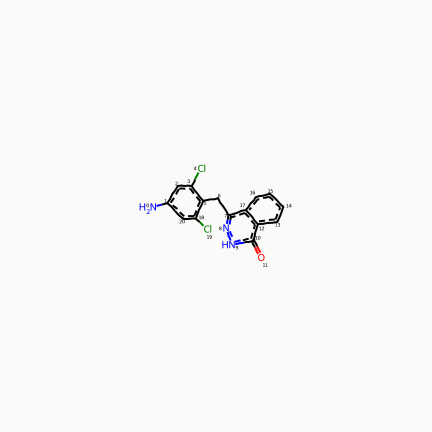 Nc1cc(Cl)c(Cc2n[nH]c(=O)c3ccccc23)c(Cl)c1